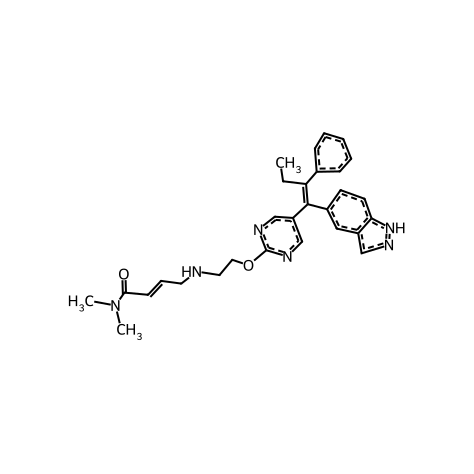 CCC(=C(c1cnc(OCCNCC=CC(=O)N(C)C)nc1)c1ccc2[nH]ncc2c1)c1ccccc1